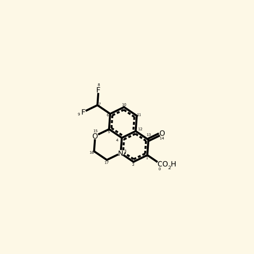 O=C(O)c1cn2c3c(c(C(F)F)ccc3c1=O)OCC2